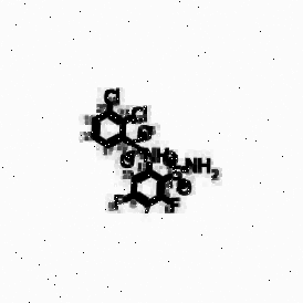 NS(=O)(=O)c1c(F)cc(F)cc1NS(=O)(=O)c1cccc(Cl)c1Cl